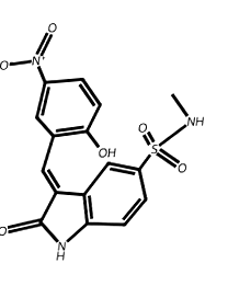 CNS(=O)(=O)c1ccc2c(c1)C(=Cc1cc([N+](=O)[O-])ccc1O)C(=O)N2